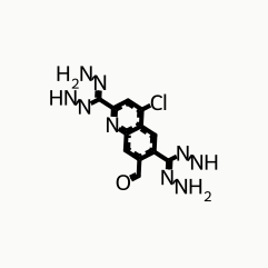 N=NC(=NN)c1cc(Cl)c2cc(C(N=N)=NN)c(C=O)cc2n1